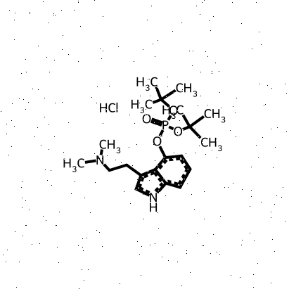 CN(C)CCc1c[nH]c2cccc(OP(=O)(OC(C)(C)C)OC(C)(C)C)c12.Cl